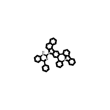 c1ccc(C2=NC(n3c4cc5c(cc4c4c6ccccc6ccc43)-c3cccc4c6ccccc6n(c34)-c3ccccc3-5)Nc3ccccc32)cc1